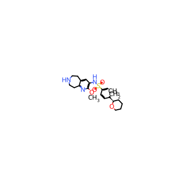 C=C(/C=C\C(=C/C)S(=O)(=O)Nc1cc2c(nc1OC)CCNCC2)[C@H]1CCCCO1